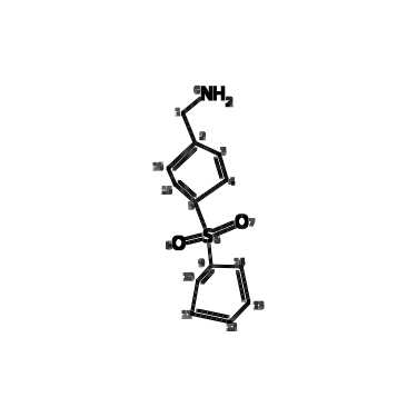 NCc1ccc(S(=O)(=O)c2ccccc2)cc1